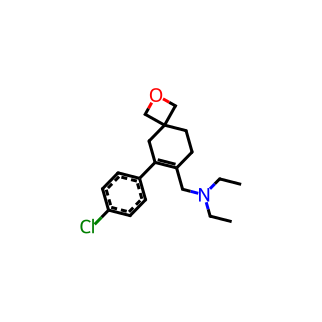 CCN(CC)CC1=C(c2ccc(Cl)cc2)CC2(CC1)COC2